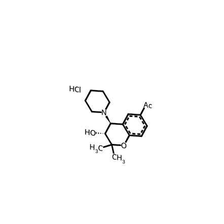 CC(=O)c1ccc2c(c1)[C@H](N1CCCCC1)[C@@H](O)C(C)(C)O2.Cl